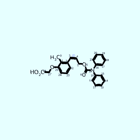 Cc1c(/C=C\COC(=O)N(c2ccccc2)c2ccccc2)cccc1OCC(=O)O